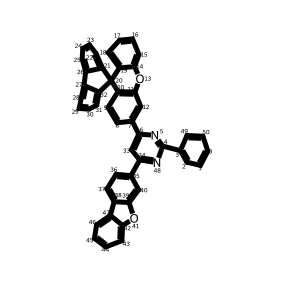 c1ccc(-c2nc(-c3ccc4c(c3)Oc3ccccc3C43c4ccccc4-c4ccccc43)cc(-c3ccc4c(c3)oc3ccccc34)n2)cc1